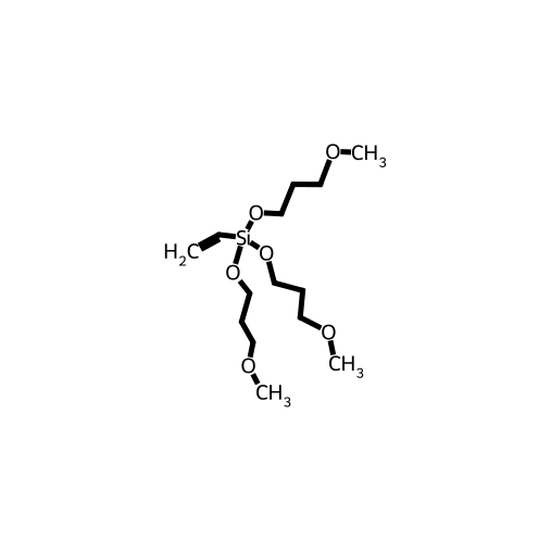 C=C[Si](OCCCOC)(OCCCOC)OCCCOC